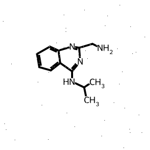 CC(C)Nc1nc(CN)nc2ccccc12